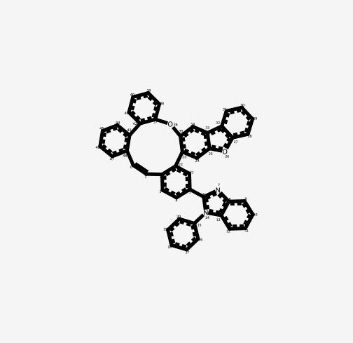 C1=C\c2ccc(-c3nc4ccccc4n3-c3ccccc3)cc2-c2cc3oc4ccccc4c3cc2Oc2ccccc2-c2ccccc2/1